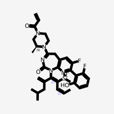 C=CC(=O)N1CCN(C2=NC(=O)N(/C(C(=C)CC(C)C)=C(/C=C\C)[S+](C)[O-])c3nc(-c4c(O)cccc4F)c(F)cc3C2)[C@@H](C)C1